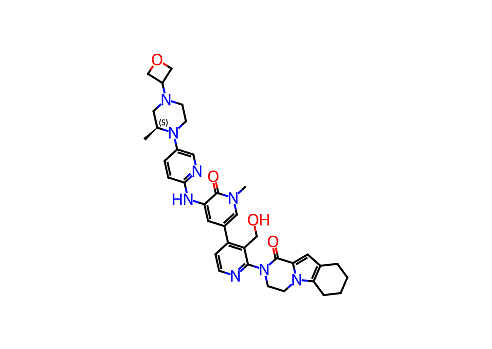 C[C@H]1CN(C2COC2)CCN1c1ccc(Nc2cc(-c3ccnc(N4CCn5c(cc6c5CCCC6)C4=O)c3CO)cn(C)c2=O)nc1